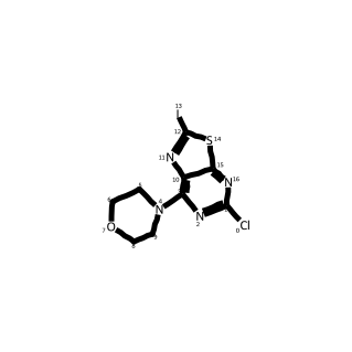 Clc1nc(N2CCOCC2)c2nc(I)sc2n1